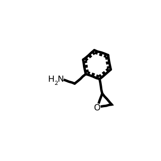 NCc1ccccc1C1CO1